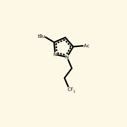 CC(=O)c1cc(C(C)(C)C)nn1CCC(F)(F)F